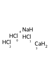 Cl.Cl.Cl.[CaH2].[NaH]